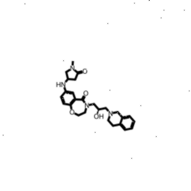 CN1CC(Nc2ccc3c(c2)C(=O)N(C[C@H](O)CN2CCc4ccccc4C2)CCO3)CC1=O